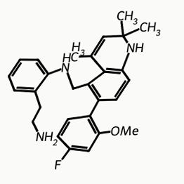 COc1cc(F)ccc1-c1ccc2c(c1CNc1ccccc1CCN)C(C)=CC(C)(C)N2